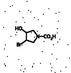 O=C(O)N1CC(O)C(Br)C1